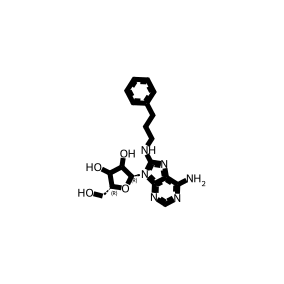 Nc1ncnc2c1nc(NCCCc1ccccc1)n2[C@@H]1O[C@H](CO)C(O)C1O